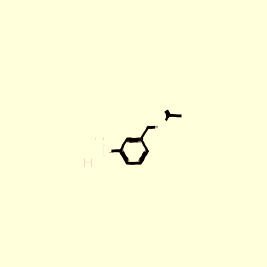 CC(=O)OCc1cccc(B(O)O)c1